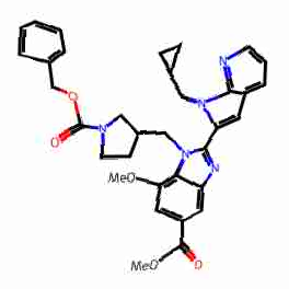 COC(=O)c1cc(OC)c2c(c1)nc(-c1cc3cccnc3n1CC1CC1)n2CC1CCN(C(=O)OCc2ccccc2)C1